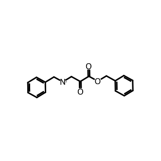 O=C(C[N]Cc1ccccc1)C(=O)OCc1ccccc1